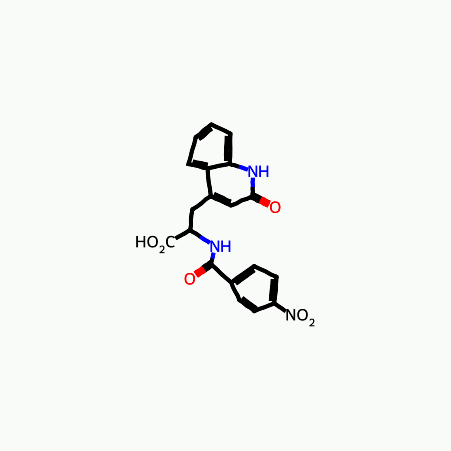 O=C(NC(Cc1cc(=O)[nH]c2ccccc12)C(=O)O)c1ccc([N+](=O)[O-])cc1